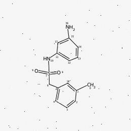 Cc1cccc(CS(=O)(=O)Nc2cccc(N)c2)c1